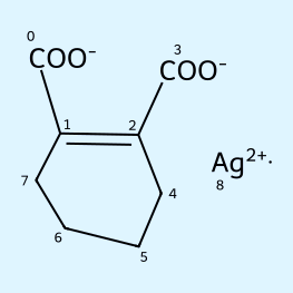 O=C([O-])C1=C(C(=O)[O-])CCCC1.[Ag+2]